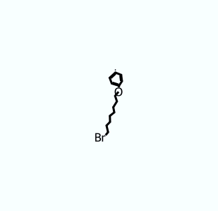 BrCCCCCCCCOc1cc[c]cc1